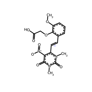 COc1cccc(/C=C/c2c([N+](=O)[O-])c(=O)n(C)c(=O)n2C)c1OCC(=O)O